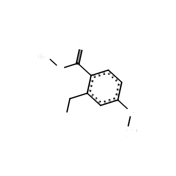 CC(C)(C)OC(=O)c1ccc(OC(C)(C)C)cc1CBr